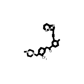 Cc1ccc(C(=O)Cc2ccc(CN3CCN(C)CC3)c(C(F)(F)F)c2)cc1C#Cc1cnc2cccnn12